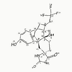 O=C1NC(=O)[C@@]2(CC[C@@]3(O)[C@@H]4N(CC(F)(F)F)CC45C[C@@]3(C2)c2cc(O)ccc25)N1